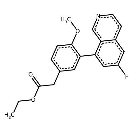 CCOC(=O)Cc1ccc(OC)c(-c2cc(F)cc3ccncc23)c1